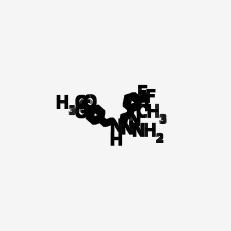 Cc1c(-c2cc(NCCc3ccc(S(C)(=O)=O)cc3)nc(N)n2)cccc1C(F)(F)I